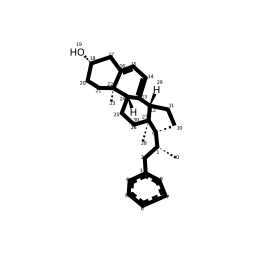 C[C@H](Cc1ccccc1)[C@H]1CC[C@H]2C3=CC=C4C[C@@H](O)CC[C@]4(C)[C@H]3CC[C@]12C